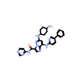 NC1CCC(Nc2cc(Nc3ccc(-c4ccccc4)cn3)c3ncc(C(=O)Nc4ccncn4)n3n2)CC1